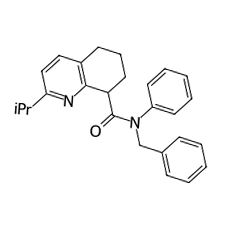 CC(C)c1ccc2c(n1)C(C(=O)N(Cc1ccccc1)c1ccccc1)CCC2